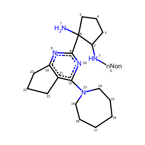 CCCCCCCCCNC1CCCC1(N)c1nc2c(c(N3CCCCCC3)n1)CCC2